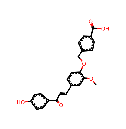 COc1cc(C=CC(=O)c2ccc(O)cc2)ccc1OCc1ccc(C(=O)O)cc1